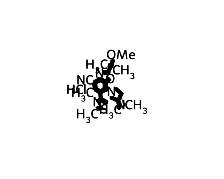 COCC(C)(C)c1nc2c(C#N)c(C)c(-c3csc(C)n3)c(N3CC[C@H](N(C)C)C3)c2o1.Cl